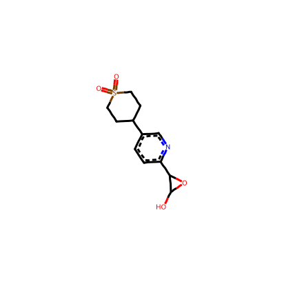 O=S1(=O)CCC(c2ccc(C3OC3O)nc2)CC1